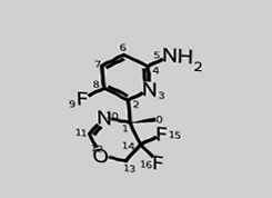 C[C@]1(c2nc(N)ccc2F)N=COCC1(F)F